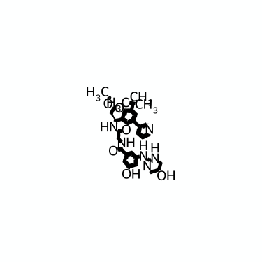 CCOC(=O)C[C@H](NC(=O)CNC(=O)c1cc(O)cc(NC2=NCC(O)CN2)c1)c1cc(-c2cccnc2)cc(C(C)(C)C)c1